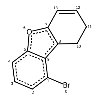 Brc1cccc2oc3c(c12)CCC=C3